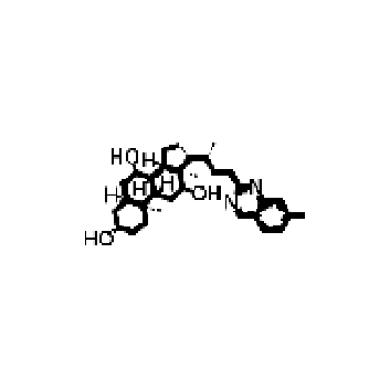 Cc1ccc2cnc(CC[C@@H](C)[C@H]3CC[C@H]4[C@@H]5[C@H](O)C[C@@H]6C[C@H](O)CC[C@]6(C)[C@H]5C[C@H](O)[C@]34C)nc2c1